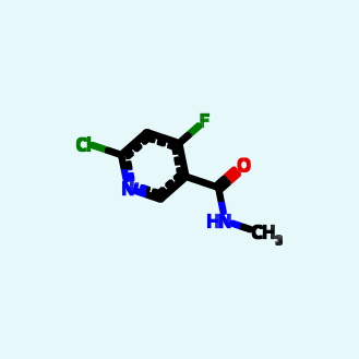 CNC(=O)c1cnc(Cl)cc1F